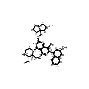 CC[C@@H]1NCCN2c3nc(OC[C@@]45CCCN4C[C@H](F)C5)nc4c(F)c(-c5cc(O)cc6ccccc56)nc(c34)OC[C@@H]12